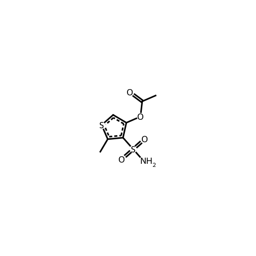 CC(=O)Oc1csc(C)c1S(N)(=O)=O